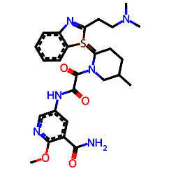 COc1ncc(NC(=O)C(=O)N2CC(C)CCC2=S2C(CCN(C)C)=Nc3ccccc32)cc1C(N)=O